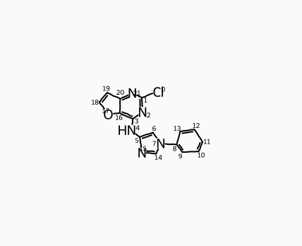 Clc1nc(Nc2cn(-c3ccccc3)cn2)c2occc2n1